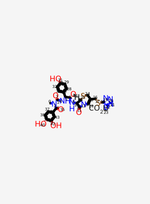 CN(C(=O)NC(C(=O)NC1C(=O)N2C(C(=O)O)=C(CSc3nnnn3C)CS[C@@H]12)c1ccc(O)cc1)C(=O)c1ccc(O)c(O)c1